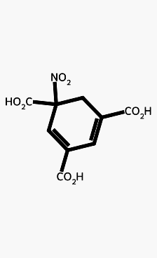 O=C(O)C1=CC(C(=O)O)([N+](=O)[O-])CC(C(=O)O)=C1